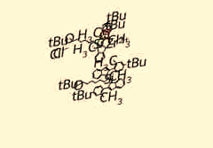 Cc1cc(C(C)(C)C)ccc1C1=C2c3ccccc3[CH]1[Zr+2][CH]1C(c3ccc(C(C)(C)C)cc3C)=C(c3ccccc31)[Si]2(C)CCCCCCOC(C)(C)C.Cc1cc(C(C)(C)C)ccc1C1=Cc2ccccc2C1[Si](C)(CCCCCCOC(C)(C)C)C1C(c2ccc(C(C)(C)C)cc2C)=Cc2ccccc21.[Cl-].[Cl-]